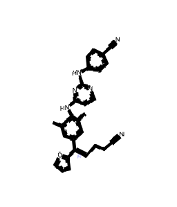 Cc1cc(/C(=C\CCC#N)c2ccco2)cc(C)c1Nc1ccnc(Nc2ccc(C#N)cc2)n1